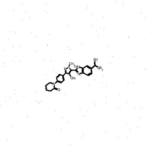 Cn1nc(-c2ccc(N3CCCCC3=O)cc2)c(O)c1-c1nc2ccc(C(=N)N)cc2[nH]1